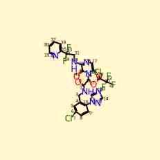 O=C(NCc1cc(Cl)ccc1-n1cncn1)C(OC(=O)C(F)(F)F)n1c(Cl)cnc(NCC(F)(F)c2ccccn2)c1=O